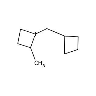 CC1CCI1CC1CCC1